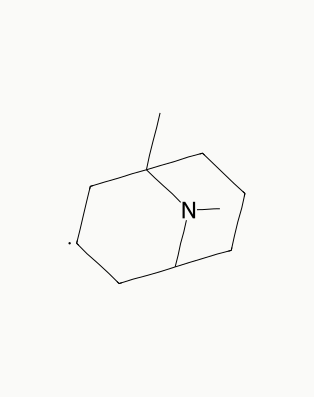 CN1C2C[CH]CC1(C)CCC2